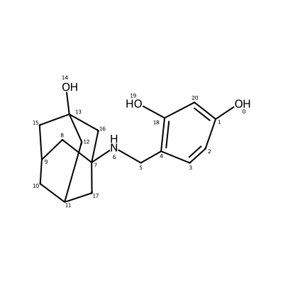 Oc1ccc(CNC23CC4CC(CC(O)(C4)C2)C3)c(O)c1